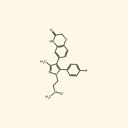 Cc1nn(CC[S+](C)[O-])c(-c2ccc(F)cc2)c1-c1ccc2c(c1)NC(=O)CO2